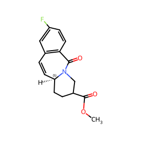 COC(=O)C1CC[C@H]2C=Cc3cc(F)ccc3C(=O)N2C1